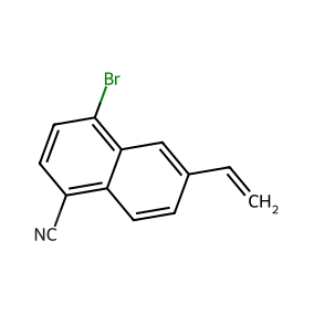 C=Cc1ccc2c(C#N)ccc(Br)c2c1